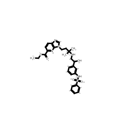 CCOC(=O)c1ccc2ncn(CCC(C)(C)NCC(O)c3cccc(NS(=O)(=O)c4ccccc4)c3)c2n1